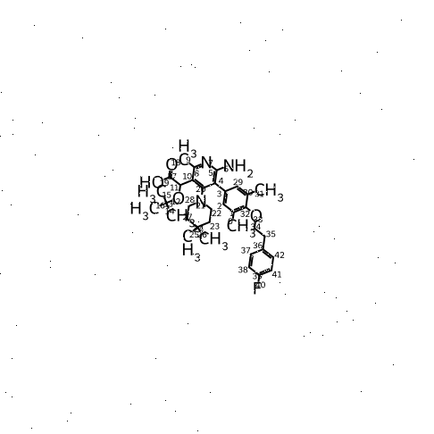 Cc1cc(-c2c(N)nc(C)c(C(OC(C)(C)C)C(=O)O)c2N2CCC(C)(C)CC2)cc(C)c1OCCc1ccc(F)cc1